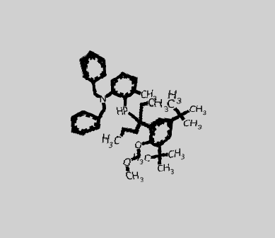 CCCC(CC)(Pc1c(C)cccc1N(Cc1ccccc1)Cc1ccccc1)c1cc(C(C)(C)C)cc(C(C)(C)C)c1OCOC